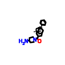 C[C@]12CC3CC(C(=O)N4CCC(N)CC4)C1CC[C@@](c1ccccc1)(C3)C2